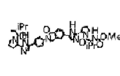 COC(=O)N[C@H](C(=O)N1CCC[C@H]1c1ncc(-c2ccc3c(c2)CN(c2ccc(-c4cnc(C5CCCN5C(=O)[C@H](C)C(C)C)[nH]4)cc2)C3=O)[nH]1)C(C)C